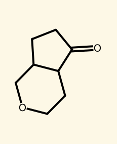 O=C1CCC2COCCC12